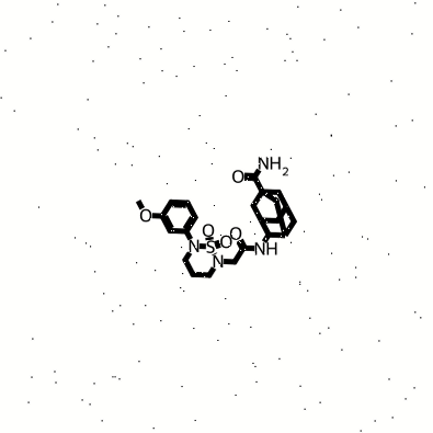 COc1cccc(N2CCCN(CC(=O)NC3C4CC5CC3CC(C(N)=O)(C5)C4)S2(=O)=O)c1